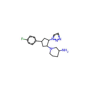 NC1CCCN(C2CC(c3ccc(F)cc3)CC2n2ccnn2)C1